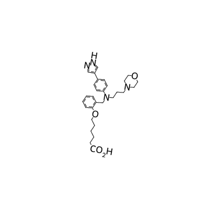 O=C(O)CCCCCOc1ccccc1CN(CCCN1CCOCC1)c1ccc(-c2cn[nH]c2)cc1